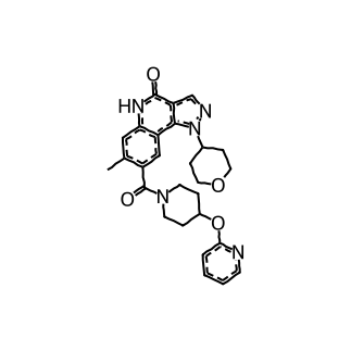 Cc1cc2[nH]c(=O)c3cnn(C4CCOCC4)c3c2cc1C(=O)N1CCC(Oc2ccccn2)CC1